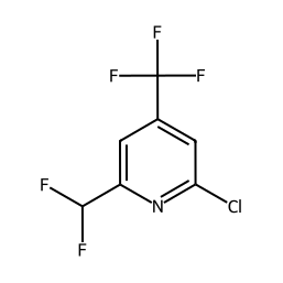 FC(F)c1cc(C(F)(F)F)cc(Cl)n1